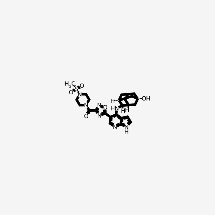 CS(=O)(=O)N1CCN(C(=O)c2noc(-c3cnc4[nH]ccc4c3N[C@H]3[C@@H]4CC5C[C@H]3C[C@@](O)(C5)C4)n2)CC1